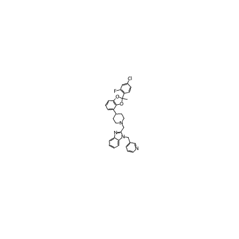 CC1(c2ccc(Cl)cc2F)Oc2cccc(C3CCN(Cc4nc5ccccc5n4Cc4cccnc4)CC3)c2O1